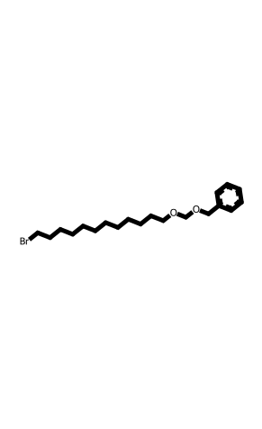 BrCCCCCCCCCCCCOCOCc1ccccc1